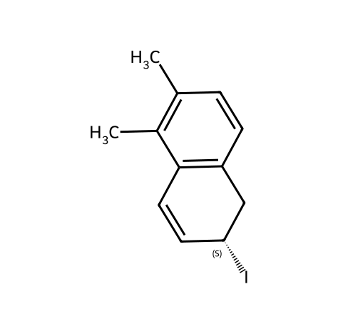 Cc1ccc2c(c1C)C=C[C@@H](I)C2